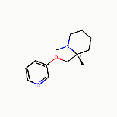 CN1CCCC[C@]1(C)COc1cccnc1